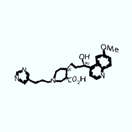 COc1ccc2nccc([C@H](O)CC[C@@H]3CCN(CCCc4cncnc4)C[C@@H]3C(=O)O)c2c1